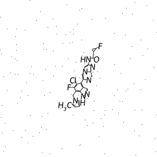 Cc1cccn1Cc1c(F)c(Cl)c(-c2cn3cc(NC(=O)C4CC4F)nc3cn2)c2cn[nH]c12